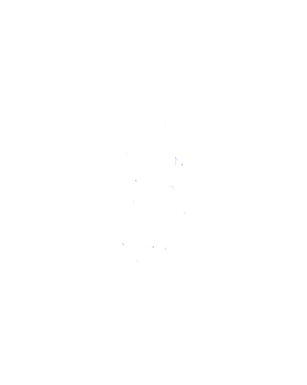 CCC1(c2cc3sc(I)nc3s2)CC1